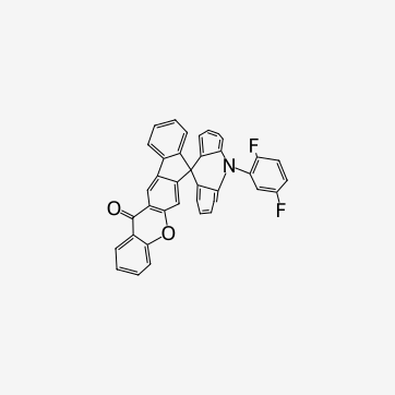 O=c1c2ccccc2oc2cc3c(cc12)-c1ccccc1C31c2ccccc2N(c2cc(F)ccc2F)c2ccccc21